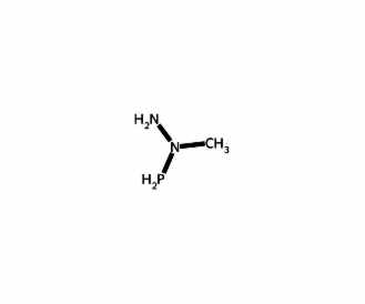 CN(N)P